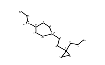 CCCC1(CCN2CCC(OCC)CC2)CC1